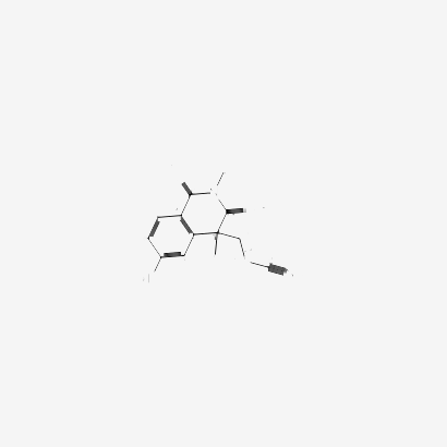 CN1C(=O)c2ccc(F)cc2C(C)(C[Se]C#N)C1=O